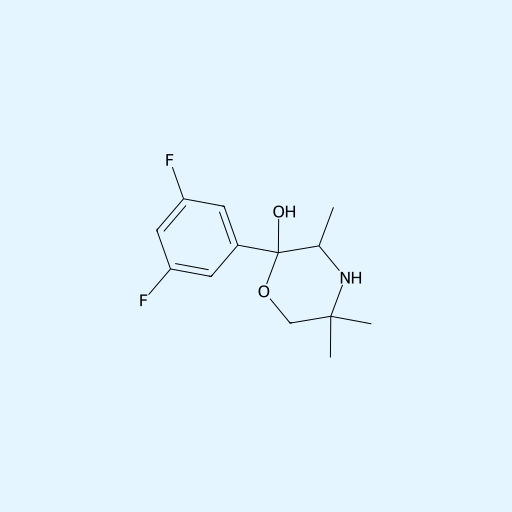 CC1NC(C)(C)COC1(O)c1cc(F)cc(F)c1